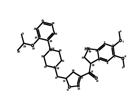 COc1cc2c(cc1OC)C(C(=O)C1=NOC(CN3CCN(c4ccccc4OC(C)C)CC3)C1)CN2